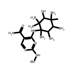 BC1C(B)C(B)(Nc2nc(NC(C)(C)C)ncc2C(N)=O)C(B)(B)C(O)C1(B)C